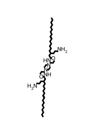 CCCCCCCCC=CCCCCCC(CCCN)CC(=O)NC(CC)N1CCN(C(CC)NC(=O)CC(CCCN)CCCCCC=CCCCCCCCC)CC1